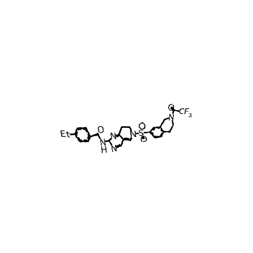 CCc1ccc(C(=O)NC2N=CC3=CN(S(=O)(=O)c4ccc5c(c4)CN(C(=O)C(F)(F)F)CC5)CCC3=N2)cc1